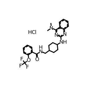 CN(C)c1nc(NC2CCC(CNC(=O)c3ccccc3OC(F)(F)F)CC2)nc2ccccc12.Cl